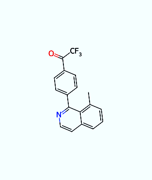 Cc1cccc2ccnc(-c3ccc(C(=O)C(F)(F)F)cc3)c12